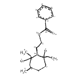 CCC1(C)C[CH]C(C)C(C)(CC)N1CCOC(=O)c1ccccc1